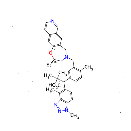 CC[C@@H]1CN(Cc2cc(C(c3ccc4c(nnn4C)c3C)C(C)(C)C(=O)O)ccc2C)Cc2cc3cnccc3cc2O1